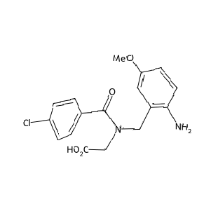 COc1ccc(N)c(CN(CC(=O)O)C(=O)c2ccc(Cl)cc2)c1